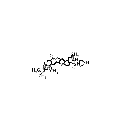 CC[C@@]1(OC(=O)CN(C)C)C(=O)OCc2c1cc1n(c2=O)Cc2cc3c(CN(C)C)c(OC(=O)N4CCNCC4)ccc3nc2-1